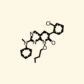 CCCCOn1c(=O)c(-c2ccccc2Cl)cc2cnc(N(C)c3ccccc3)nc21